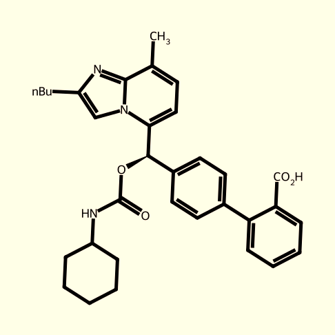 CCCCc1cn2c([C@H](OC(=O)NC3CCCCC3)c3ccc(-c4ccccc4C(=O)O)cc3)ccc(C)c2n1